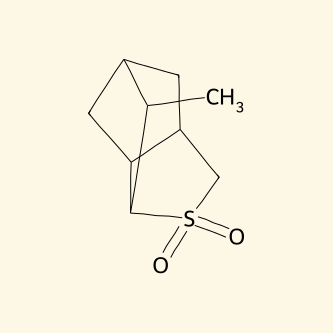 CC1C2CC3CS(=O)(=O)C1C3C2